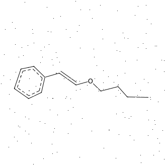 [CH2]CC[CH]O/C=C/c1ccccc1